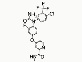 CNC(=O)c1cc(Oc2ccc(N(C(N)=O)c3ccc(Cl)c(C(F)(F)F)c3)c(F)c2)ccn1